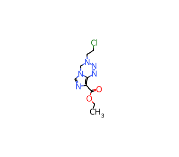 CCOC(=O)c1ncn2c1N=NN(CCCl)C2